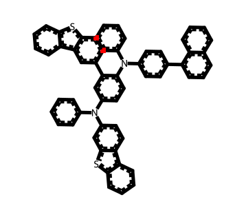 c1ccc(N(c2ccc(N(c3ccccc3)c3ccc(-c4cccc5ccccc45)cc3)c(-c3ccc4sc5ccccc5c4c3)c2)c2ccc3c(c2)sc2ccccc23)cc1